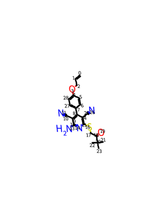 C=CCOc1ccc(-c2c(C#N)c(N)nc(SCC(=O)C(C)(C)C)c2C#N)cc1